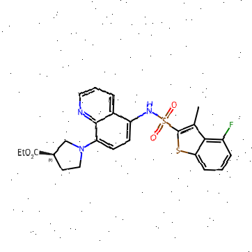 CCOC(=O)[C@@H]1CCN(c2ccc(NS(=O)(=O)c3sc4cccc(F)c4c3C)c3cccnc23)C1